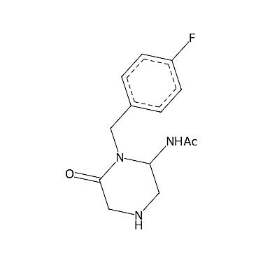 CC(=O)NC1CNCC(=O)N1Cc1ccc(F)cc1